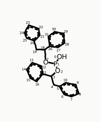 OP(OC(Cc1ccccc1)c1ccccc1)OC(Cc1ccccc1)c1ccccc1